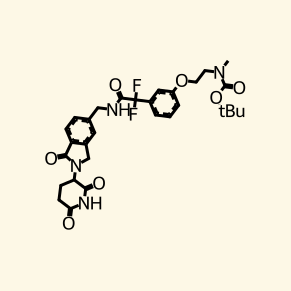 CN(CCOc1cccc(C(F)(F)C(=O)NCc2ccc3c(c2)CN(C2CCC(=O)NC2=O)C3=O)c1)C(=O)OC(C)(C)C